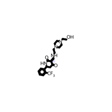 O=C1CC(c2ccccc2C(F)(F)F)NC(=O)/C1=C\NCCN1CCN(CCO)CC1